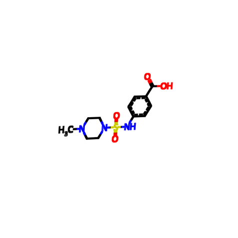 CN1CCN(S(=O)(=O)Nc2ccc(C(=O)O)cc2)CC1